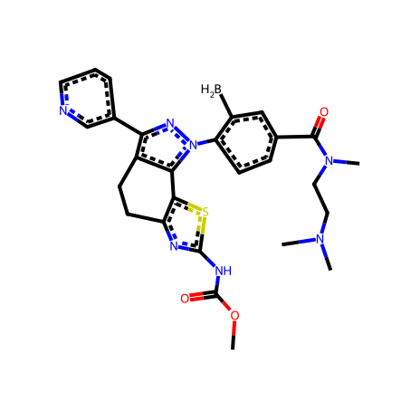 Bc1cc(C(=O)N(C)CCN(C)C)ccc1-n1nc(-c2cccnc2)c2c1-c1sc(NC(=O)OC)nc1CC2